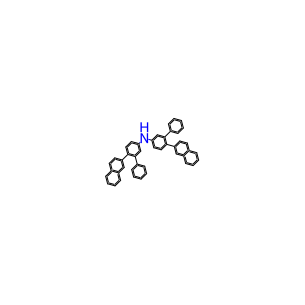 c1ccc(-c2cc(Nc3ccc(-c4ccc5ccccc5c4)c(-c4ccccc4)c3)ccc2-c2ccc3ccccc3c2)cc1